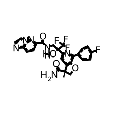 C[C@]1(C(N)=O)COc2c1cc(C(O)(CNC(=O)c1ccc3nccn3n1)C(F)(F)F)nc2-c1ccc(F)cc1